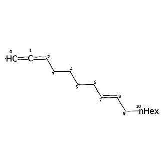 [CH]=C=CCCCCC=CCCCCCCC